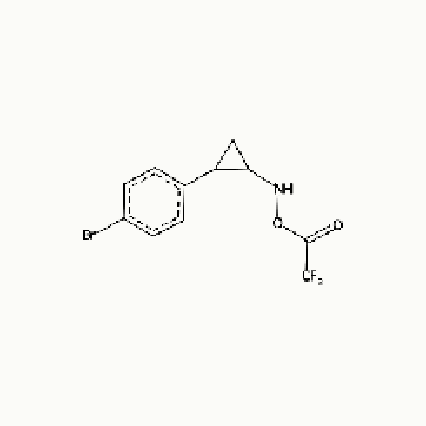 O=C(ONC1CC1c1ccc(Br)cc1)C(F)(F)F